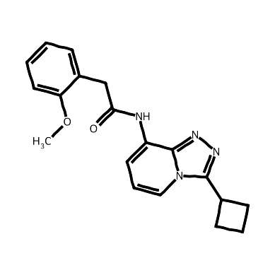 COc1ccccc1CC(=O)Nc1cccn2c(C3CCC3)nnc12